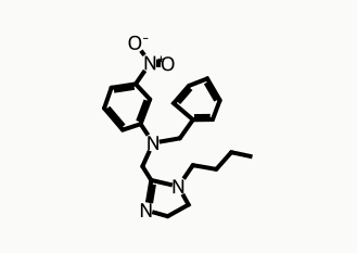 CCCCN1CCN=C1CN(Cc1ccccc1)c1cccc([N+](=O)[O-])c1